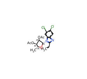 C=Cc1nc2cc(Cl)c(Cl)cc2n1[C@@H]1O[C@H](C)[C@@H](OC(C)=O)[C@H]1OC(C)=O